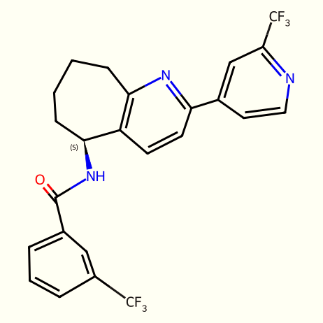 O=C(N[C@H]1CCCCc2nc(-c3ccnc(C(F)(F)F)c3)ccc21)c1cccc(C(F)(F)F)c1